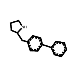 c1ccc(-c2ccc(CC3CCCN3)cc2)cc1